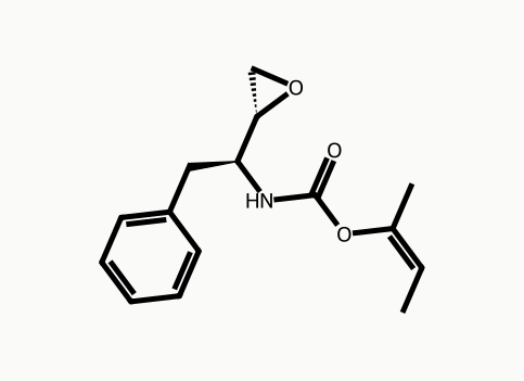 C/C=C(/C)OC(=O)N[C@@H](Cc1ccccc1)[C@@H]1CO1